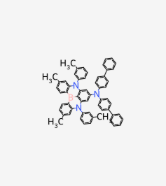 Cc1cccc(N2c3cc(C)ccc3B3c4ccc(C)cc4N(c4cccc(C)c4)c4cc(N(c5ccc(-c6ccccc6)cc5)c5ccc(-c6ccccc6)cc5)cc2c43)c1